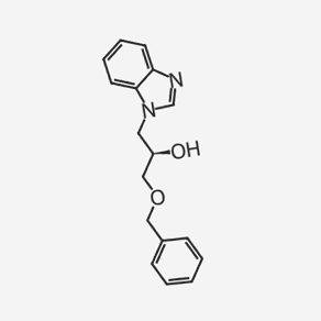 O[C@@H](COCc1ccccc1)Cn1cnc2ccccc21